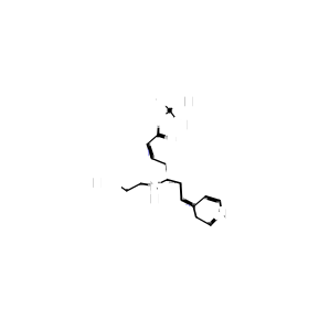 CCCN[C@@H](C/C=C\C(=O)OC(C)(C)C)C/C=C1\C=CN=CC1